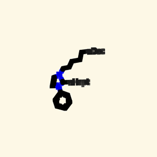 CCCCCCCCCCCCCCCN1C=CN(c2ccccc2)C1CCCCCCC